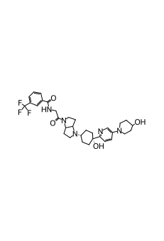 O=C(NCC(=O)N1CCC2C1CCN2[C@H]1CC[C@](O)(c2ccc(N3CCC(O)CC3)cn2)CC1)c1cccc(C(F)(F)F)c1